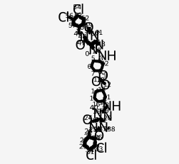 Cn1c(N[C@H]2CCC[C@@H](OC(=O)O[C@@H]3CCC[C@H](Nc4nc5c(c(=O)n(Cc6ccc(Cl)c(Cl)c6)c(=O)n5C)n4C)C3)C2)nc2c1c(=O)n(Cc1ccc(Cl)c(Cl)c1)c(=O)n2C